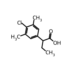 CCC(C(=O)O)c1cc(C)c(Cl)c(C)c1